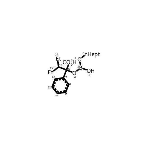 CCCCCCCOB(O)OC(C(=O)O)(c1ccccc1)C(CC)CC